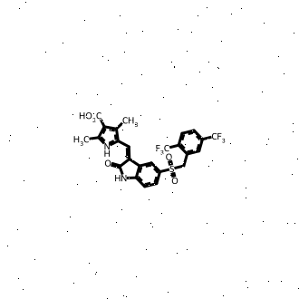 Cc1[nH]c(/C=C2\C(=O)Nc3ccc(S(=O)(=O)Cc4cc(C(F)(F)F)ccc4C(F)(F)F)cc32)c(C)c1C(=O)O